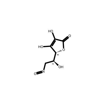 O=NC[C@H](O)[C@H]1OC(=O)C(O)=C1O